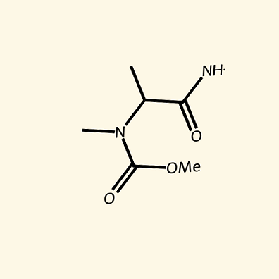 COC(=O)N(C)C(C)C([NH])=O